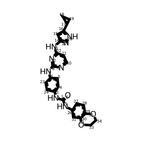 O=C(Nc1ccc(Nc2nccc(Nc3cc(C4CC4)[nH]n3)n2)cc1)Nc1ccc2c(c1)OCCO2